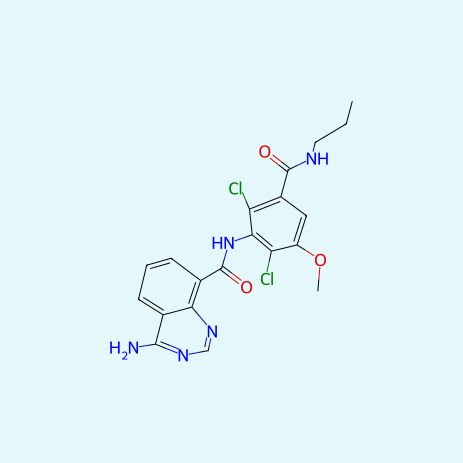 CCCNC(=O)c1cc(OC)c(Cl)c(NC(=O)c2cccc3c(N)ncnc23)c1Cl